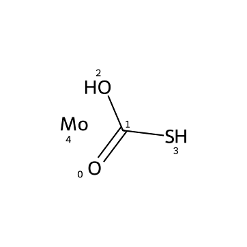 O=C(O)S.[Mo]